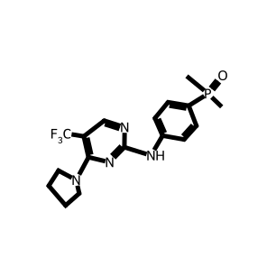 CP(C)(=O)c1ccc(Nc2ncc(C(F)(F)F)c(N3CCCC3)n2)cc1